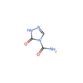 NC(=O)n1cn[nH]c1=O